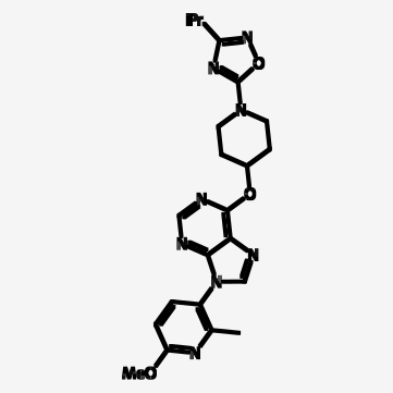 COc1ccc(-n2cnc3c(OC4CCN(c5nc(C(C)C)no5)CC4)ncnc32)c(C)n1